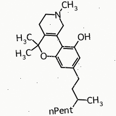 CCCCCC(C)CCc1cc(O)c2c(c1)OC(C)(C)C1=C2CN(C)CC1